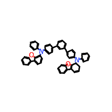 C1=Cc2c(oc3ccccc23)C(N(c2ccccc2)c2ccc(-c3cccc(-c4ccc(N(c5ccccc5)c5cccc6c5oc5ccccc56)cc4)c3)cc2)C1